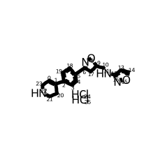 C1=C(c2ccc(C3=NOC(CNc4ccon4)C3)cc2)CCNC1.Cl.Cl